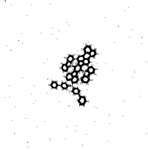 c1ccc(-c2ccc(N(c3ccc(-c4ccccc4)cc3)c3ccc4c5c(-n6c7ccccc7c7ccccc76)c6c7ccc8c9cccc%10cccc(c%11ccc(c6c(-n6c%12ccccc%12c%12ccccc%126)c5c5cccc3c54)c7c%118)c%109)cc2)cc1